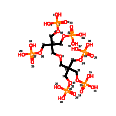 O=P(O)(O)OCC(COCC(COP(=O)(O)O)(COP(=O)(O)O)COP(=O)(O)O)(COP(=O)(O)O)COP(=O)(O)O